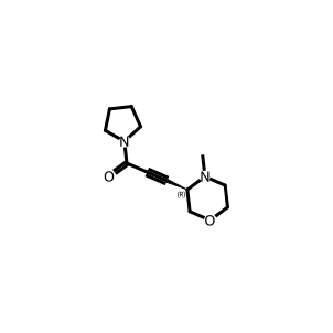 CN1CCOC[C@H]1C#CC(=O)N1CCCC1